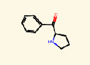 O=C(c1ccccc1)[C@H]1CCCN1